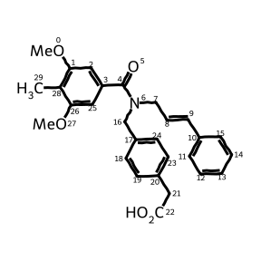 COc1cc(C(=O)N(CC=Cc2ccccc2)Cc2ccc(CC(=O)O)cc2)cc(OC)c1C